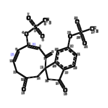 C=C1/C=C(OS(=O)(=O)C(F)(F)F)\C=C/CC(=O)CC12CC(=O)c1ccc(OS(=O)(=O)C(F)(F)F)cc12